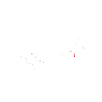 O=S(=O)(O)c1ccc2c(NCCNC[C@H](O)c3cccc(Cl)c3)cccc2c1